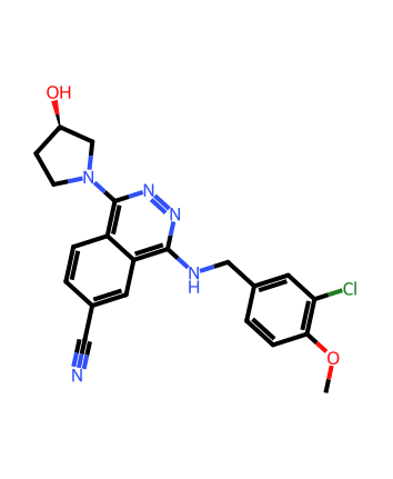 COc1ccc(CNc2nnc(N3CC[C@@H](O)C3)c3ccc(C#N)cc23)cc1Cl